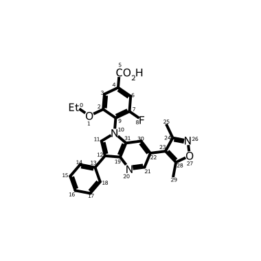 CCOc1cc(C(=O)O)cc(F)c1-n1cc(-c2ccccc2)c2ncc(-c3c(C)noc3C)cc21